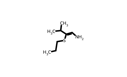 CCCS/C(=C\N)C(C)C